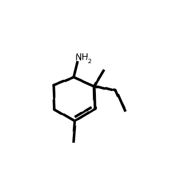 CCC1(C)C=C(C)CCC1N